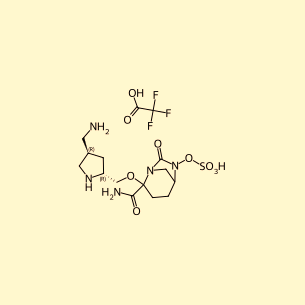 NC[C@@H]1CN[C@@H](COC2(C(N)=O)CCC3CN2C(=O)N3OS(=O)(=O)O)C1.O=C(O)C(F)(F)F